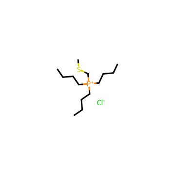 CCCC[P+](CCCC)(CCCC)CSC.[Cl-]